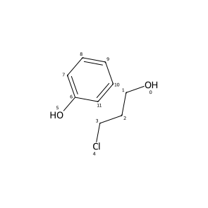 OCCCCl.Oc1ccccc1